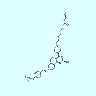 Nc1nc2c(c(N3CCN(CCOCCOCC(=O)OC=O)CC3)n1)CCc1cc(OCc3ccc(OC(F)(F)F)cc3)ccc1-2